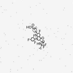 C[C@H]1CN(c2nc3c(cc2F)c(=O)c(C(=O)N[C@@H](C2CC2)C(F)(F)F)cn3-c2c(F)cc(F)cc2F)CCN1C(=O)O